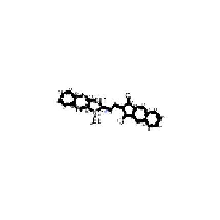 CCN1/C(=C/C=C2C(=O)c3cc4ccccc4cc3C2=O)Nc2nc3ccccc3nc21